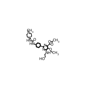 CCOc1c(NCCO)nc(-c2ccc(NC(=O)NN3CCN(C)CC3)cc2)nc1C1OC(C)O1